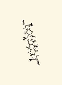 CC1c2ccc(C=C(C#N)C#N)cc2C(=O)c2cc3c(cc21)c(=O)c1cc(C=C(C#N)C#N)ccc1n3C